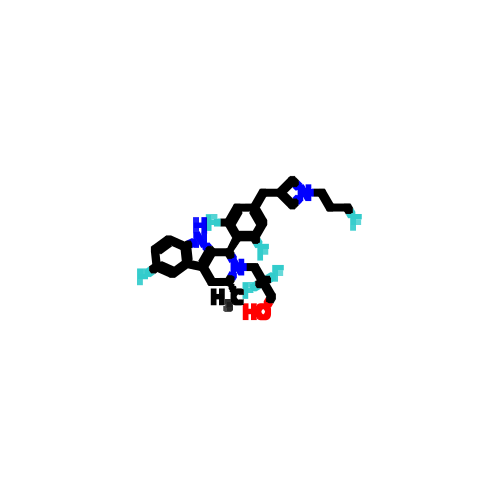 C[C@@H]1Cc2c([nH]c3ccc(F)cc23)[C@@H](c2c(F)cc(CC3CN(CCCF)C3)cc2F)N1CC(F)(F)CO